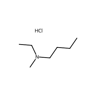 CCCCN(C)CC.Cl